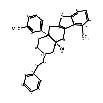 COc1cccc([C@@]23CCN(CCc4ccccc4)C[C@@]2(O)Cc2c([nH]c4cccc([N+](=O)[O-])c24)C3)c1